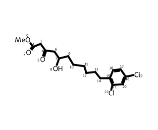 COC(=O)CC(=O)CC(O)CCCCCCc1ccc(Cl)cc1Cl